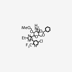 CCc1nc([C@@H]2OC3COC(c4ccccc4)O[C@@H]3C(N)C2OCOC)n(-c2cc(Cl)cnc2C(F)(F)F)n1